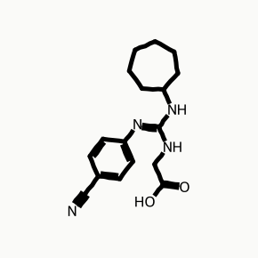 N#Cc1ccc(N=C(NCC(=O)O)NC2CCCCCC2)cc1